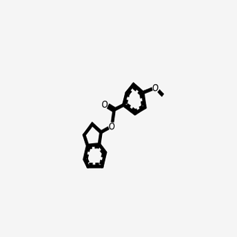 COc1ccc(C(=O)OC2CCc3ccccc32)cc1